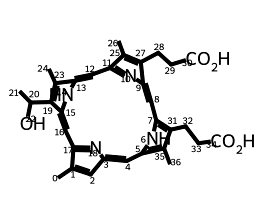 CC1=Cc2cc3[nH]c(cc4nc(cc5[nH]c(cc1n2)c(C(C)O)c5C)C(C)=C4CCC(=O)O)c(CCC(=O)O)c3C